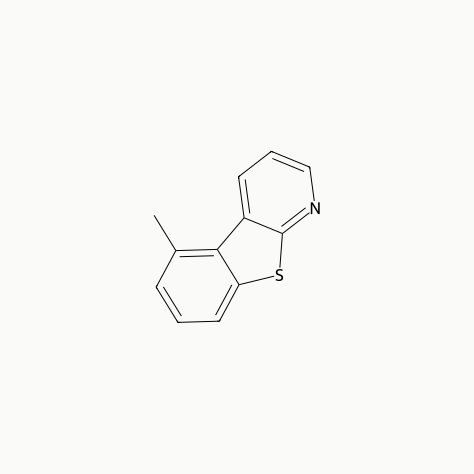 Cc1cccc2sc3ncccc3c12